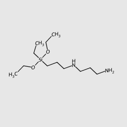 CCO[Si](CC)(CCCNCCCN)OCC